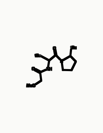 COCC(=O)NC(C(=O)N1CCCC1C(C)(C)C)C(C)(C)C